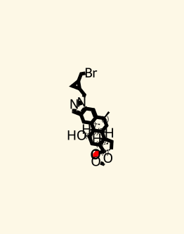 C[C@H]1C[C@@H]2[C@H]([C@@H](O)C[C@@]3(C)[C@H]2CC[C@@]32OCOC23COCO3)[C@@]2(C)Cc3cnn(CC4CC4CBr)c3C=C12